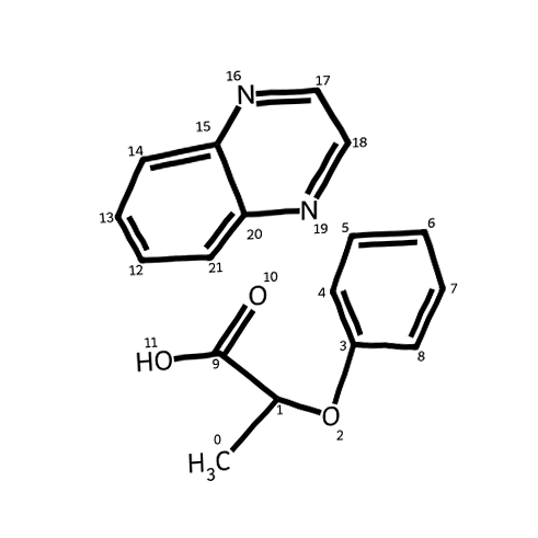 CC(Oc1ccccc1)C(=O)O.c1ccc2nccnc2c1